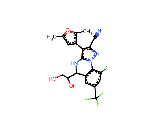 Cc1cc(-c2c(C#N)nn3c2NC(C(O)CO)c2cc(C(F)(F)F)cc(Cl)c2-3)c(C)o1